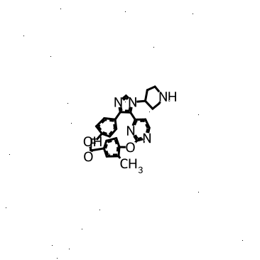 Cc1cc(C(=O)O)ccc1Oc1nccc(-c2c(-c3ccc(F)cc3)ncn2C2CCNCC2)n1